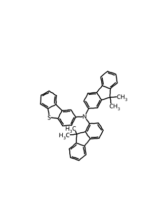 CC1(C)c2ccccc2-c2ccc(N(c3ccc4sc5ccccc5c4c3)c3cccc4c3C(C)(C)c3ccccc3-4)cc21